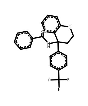 O=C(NC1(c2ccc(C(F)(F)F)cc2)CCOc2cccnc21)c1ccccc1